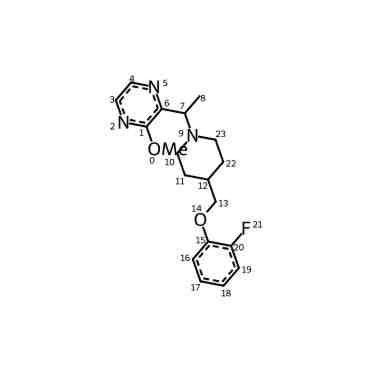 COc1nccnc1C(C)N1CCC(COc2ccccc2F)CC1